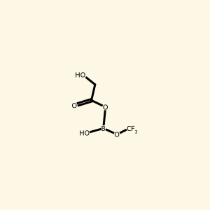 O=C(CO)OB(O)OC(F)(F)F